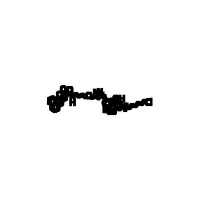 CC(C)(CCCCCCCl)c1cc(O)c2c(c1)OC(C)(C)[C@@H]1CC[C@@H](Cn3cc(COCCCCNC(=O)c4cc5cc6c7c(c5oc4=O)CCCN7CCC6)nn3)C[C@@H]21